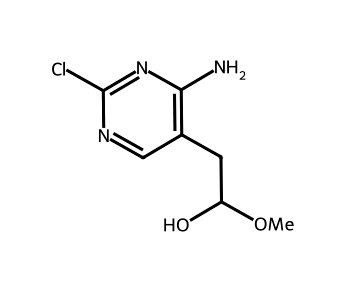 COC(O)Cc1cnc(Cl)nc1N